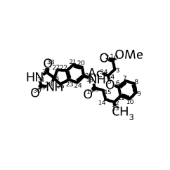 COC(=O)CC(Oc1ccccc1C(C)CCC(=O)Nc1ccc2c(c1)CC1(C2)NC(=O)NC1=O)C(C)=O